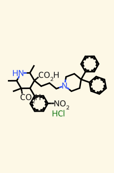 CC1NC(C)C(CCCN2CCC(c3ccccc3)(c3ccccc3)CC2)(C(=O)O)C(c2cccc([N+](=O)[O-])c2)C1(C)C(=O)O.Cl